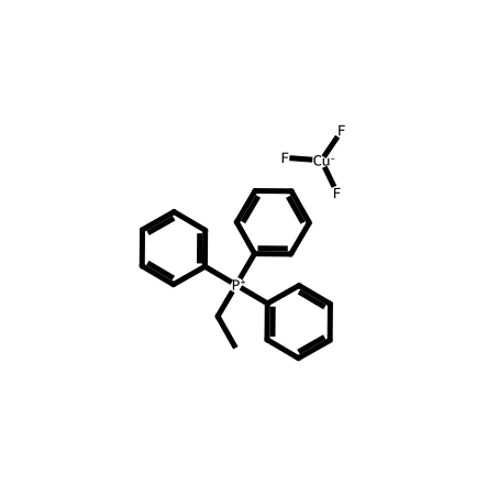 CC[P+](c1ccccc1)(c1ccccc1)c1ccccc1.[F][Cu-]([F])[F]